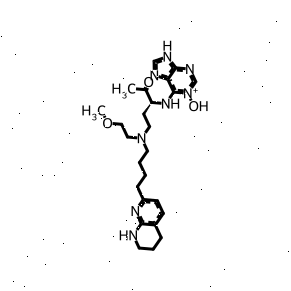 COCCN(CCCCc1ccc2c(n1)NCCC2)CC[C@H](Nc1c2nc[nH]c2nc[n+]1O)C(C)=O